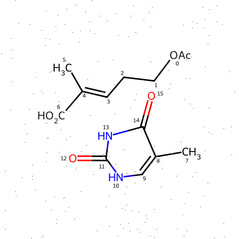 CC(=O)OCCC=C(C)C(=O)O.Cc1c[nH]c(=O)[nH]c1=O